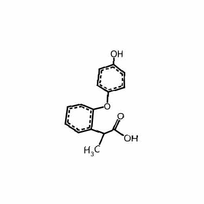 CC(C(=O)O)c1ccccc1Oc1ccc(O)cc1